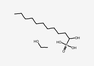 CCCCCCCCCCC(O)P(=O)(O)O.CCO